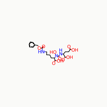 O=C(O)CCC(NC(=O)N(O)C(CCCCNC(=O)OCc1ccccc1)C(=O)O)C(=O)O